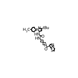 Cc1ccc(-n2nc(C(C)(C)C)cc2NC(=O)NC2CC3(C2)CN(C(=O)c2cnn4ccsc24)C3)cc1